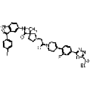 CCNc1nnc(-c2ccc(C3=CCN(C(=O)CN4CCC(C)(C(=O)Nc5ccc6[nH]nc(-c7ccc(F)cc7)c6c5)C4)CC3)c(F)c2)o1